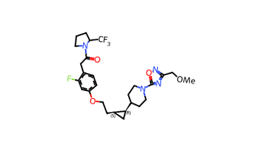 COCc1noc(N2CCC([C@H]3C[C@H]3CCOc3ccc(CC(=O)N4CCCC4C(F)(F)F)c(F)c3)CC2)n1